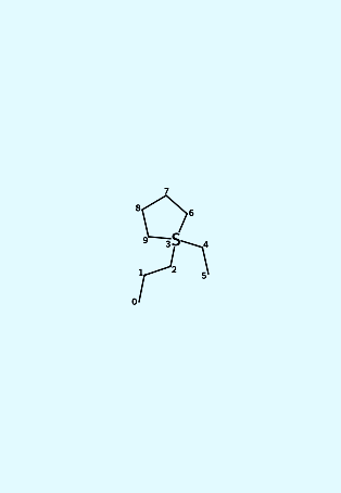 CCCS1(CC)CCCC1